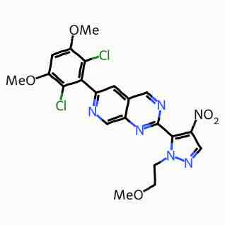 COCCn1ncc([N+](=O)[O-])c1-c1ncc2cc(-c3c(Cl)c(OC)cc(OC)c3Cl)ncc2n1